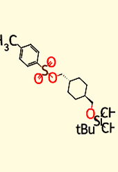 Cc1ccc(S(=O)(=O)OC[C@H]2CC[C@H](CO[Si](C)(C)C(C)(C)C)CC2)cc1